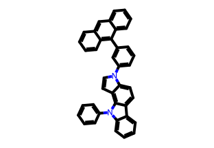 c1ccc(-n2c3ccccc3c3ccc4c(ccn4-c4cccc(-c5c6ccccc6cc6ccccc56)c4)c32)cc1